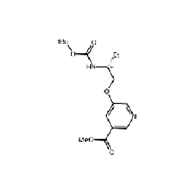 CC[C@H](COc1cncc(C(=O)OC)c1)NC(=O)OC(C)(C)C